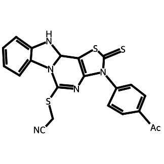 CC(=O)c1ccc(-n2c3c(sc2=S)C2Nc4ccccc4N2C(SCC#N)=N3)cc1